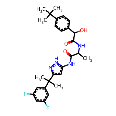 CC(NC(=O)C(O)c1ccc(C(C)(C)C)cc1)C(=O)Nc1cc(C(C)(C)c2cc(F)cc(F)c2)n[nH]1